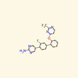 Nc1ncc(-c2ccc(-c3ccccc3Oc3ccnc(C(F)(F)F)n3)cc2F)cn1